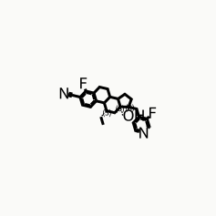 CC[C@H]1C[C@@]2(C)C(CC[C@@]2(O)Cc2ccncc2F)C2CCc3c(ccc(C#N)c3F)C21